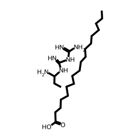 CCC(N)NC(=N)NC(=N)N.CCCCCCCCCCCCCCCCCC(=O)O